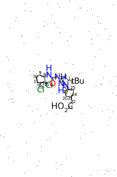 CC(C)(C)C1C=C(NC(=O)Nc2cccc(Cl)c2Cl)NN1c1ccc(CC(=O)O)cc1